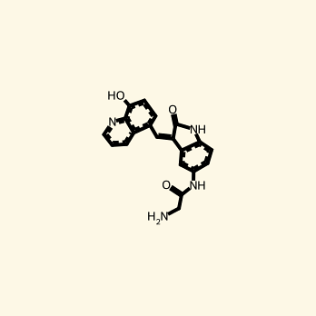 NCC(=O)Nc1ccc2c(c1)C(=Cc1ccc(O)c3ncccc13)C(=O)N2